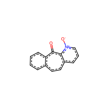 O=c1c2ccccc2ccc2ccc[n+]([O-])c12